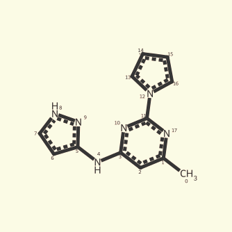 Cc1cc(Nc2cc[nH]n2)nc(-n2c[c]cc2)n1